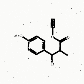 C#COC(=O)C(C)C(CC)c1ccc(OC)cc1